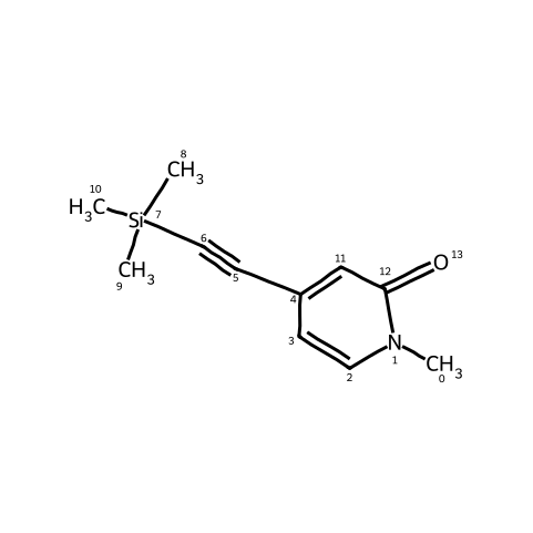 Cn1ccc(C#C[Si](C)(C)C)cc1=O